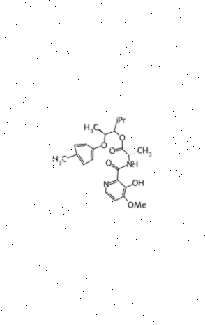 COc1ccnc(C(=O)N[C@@H](C)C(=O)OC(C(C)C)[C@H](C)Oc2ccc(C)cc2)c1O